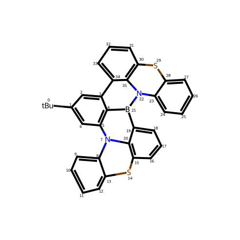 CC(C)(C)c1cc2c3c(c1)N1c4ccccc4Sc4cccc(c41)B3N1c3ccccc3Sc3cccc-2c31